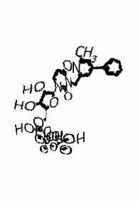 Cc1cc(-c2ccccc2)cc(Cn2c(=O)ccn([C@@H]3O[C@H](COP(=O)(O)OP(=O)(O)OP(=O)(O)O)C(O)C3O)c2=O)n1